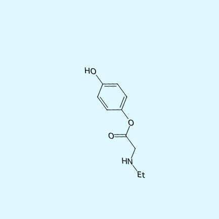 CCNCC(=O)Oc1ccc(O)cc1